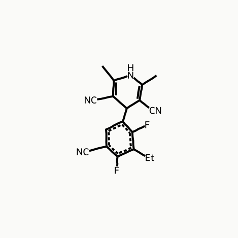 CCc1c(F)c(C#N)cc(C2C(C#N)=C(C)NC(C)=C2C#N)c1F